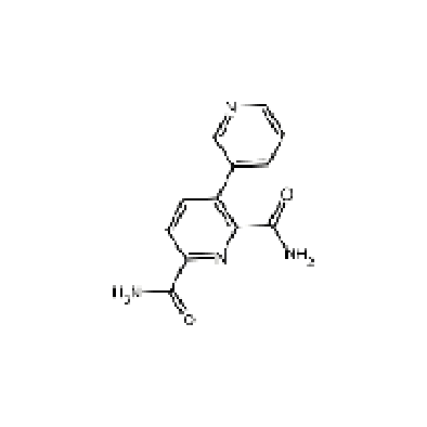 NC(=O)c1ccc(-c2cccnc2)c(C(N)=O)n1